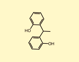 CC(c1ccccc1O)c1ccccc1O